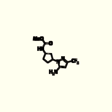 COC(=O)NC1CCC(n2nc(C(F)(F)F)cc2N)C1